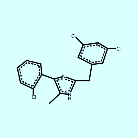 Cc1[nH]c(Cc2cc(Cl)cc(Cl)c2)nc1-c1ccccc1Cl